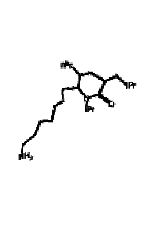 CCCC1CC(CC(C)C)C(=O)N(C(C)C)C1CCCCCCCN